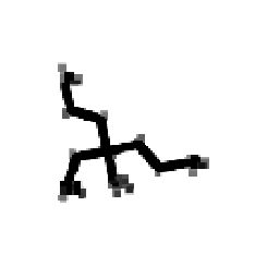 CCC(C)CCC(N)(CN)CCC(C)CC